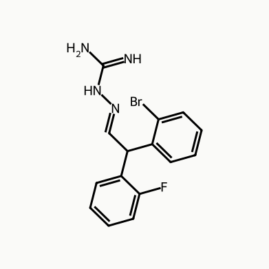 N=C(N)NN=CC(c1ccccc1F)c1ccccc1Br